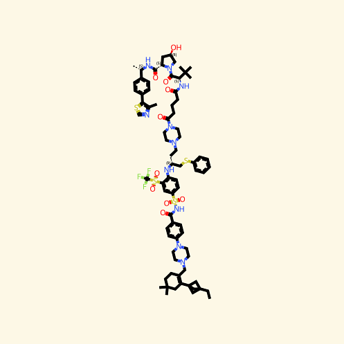 CCC12CC(C3=C(CN4CCN(c5ccc(C(=O)NS(=O)(=O)c6ccc(N[C@H](CCN7CCN(C(=O)CCCC(=O)N[C@H](C(=O)N8C[C@H](O)C[C@H]8C(=O)N[C@@H](C)c8ccc(-c9scnc9C)cc8)C(C)(C)C)CC7)CSc7ccccc7)c(S(=O)(=O)C(F)(F)F)c6)cc5)CC4)CCC(C)(C)C3)(C1)C2